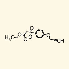 C#CCOc1ccc(S(=O)(=O)CC(=O)OCC)cc1